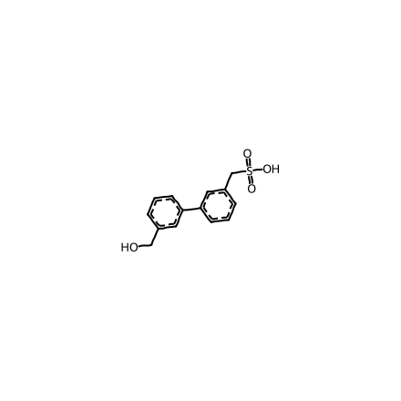 O=S(=O)(O)Cc1cccc(-c2cccc(CO)c2)c1